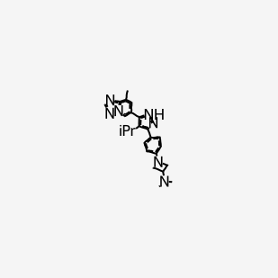 Cc1cc(-c2[nH]nc(-c3ccc(N4CC(N(C)C)C4)cc3)c2C(C)C)cn2ncnc12